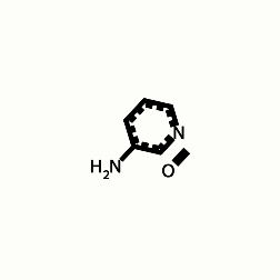 C=O.Nc1cccnc1